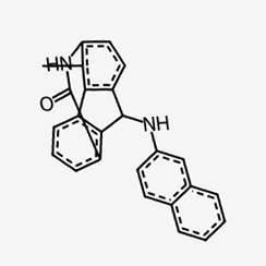 Cc1c2ccc3c1-c1cccc(c1C3Nc1ccc3ccccc3c1)C(=O)N2